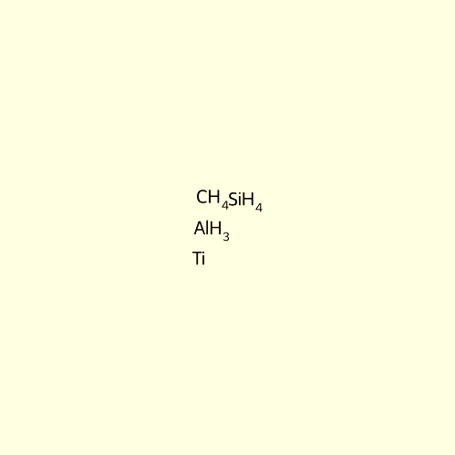 C.[AlH3].[SiH4].[Ti]